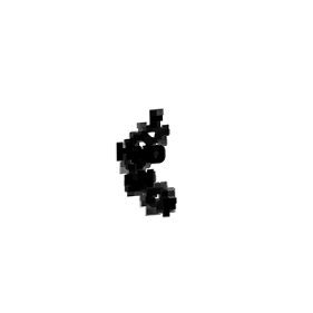 O=C1c2ccc(F)cc2CC[C@@H]2CC[C@H](c3nc(-c4ccc(F)cc4)cs3)CN12